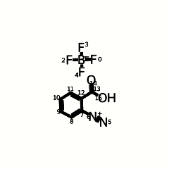 F[B-](F)(F)F.N#[N+]c1ccccc1C(=O)O